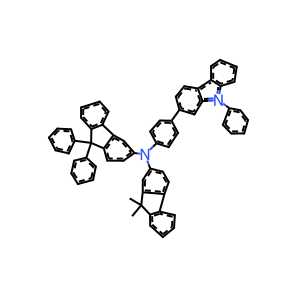 CC1(C)c2ccccc2-c2ccc(N(c3ccc(-c4ccc5c6ccccc6n(-c6ccccc6)c5c4)cc3)c3ccc4c(c3)-c3ccccc3C4(c3ccccc3)c3ccccc3)cc21